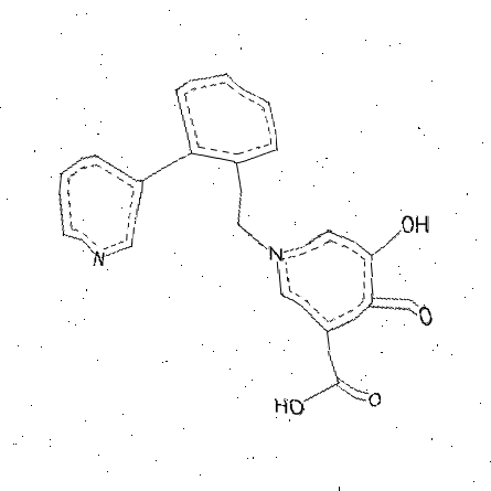 O=C(O)c1cn(Cc2ccccc2-c2cccnc2)cc(O)c1=O